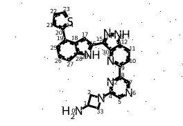 NC1CN(c2cncc(-c3ccc4[nH]nc(-c5cc6c(-c7cccs7)cccc6[nH]5)c4n3)n2)C1